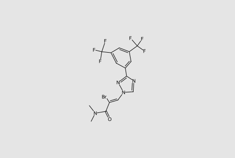 CN(C)C(=O)C(Br)=Cn1cnc(-c2cc(C(F)(F)F)cc(C(F)(F)F)c2)n1